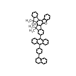 CC1(C)c2cc(-c3c4ccccc4c(-c4ccc(-c5cccc6ccccc56)cc4)c4ccccc34)ccc2-c2c1c1c(c3c2oc2ccccc23)-c2ccccc2C1(C)C